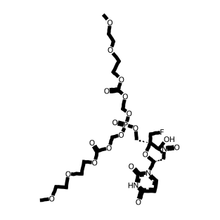 COCCOCCOC(=O)OCOP(=O)(OCOC(=O)OCCOCCOC)OC[C@@](CF)(O[C@H](CN=O)n1ccc(=O)[nH]c1=O)[C@H](C)O